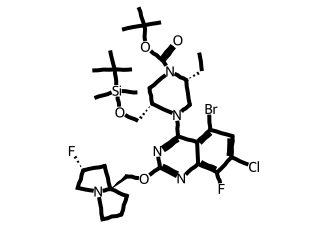 CC[C@@H]1CN(c2nc(OC[C@@]34CCCN3C[C@H](F)C4)nc3c(F)c(Cl)cc(Br)c23)[C@H](CO[Si](C)(C)C(C)(C)C)CN1C(=O)OC(C)(C)C